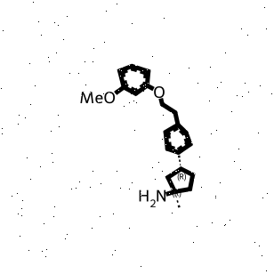 COc1cccc(OCCc2ccc([C@@H]3CC[C@@](C)(N)C3)cc2)c1